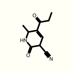 CCC(=O)C1=CC(C#N)C(=O)NC1C